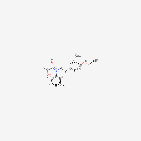 C#CCOc1ccc(CCN(C(=O)C(C)O)c2cccc(C)c2)cc1OC